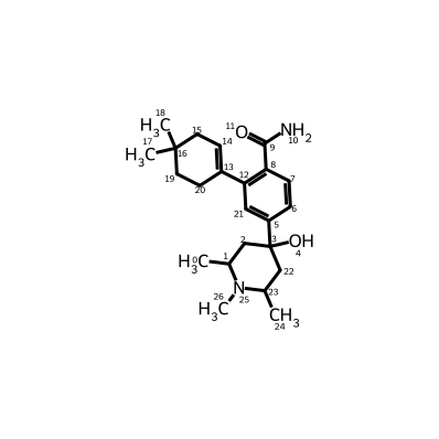 CC1CC(O)(c2ccc(C(N)=O)c(C3=CCC(C)(C)CC3)c2)CC(C)N1C